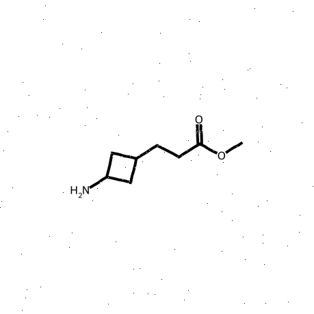 COC(=O)CCC1CC(N)C1